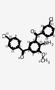 COc1cc(C(=O)c2ccc(Cl)cc2)cc(C(=O)c2cccc(Cl)c2)c1N